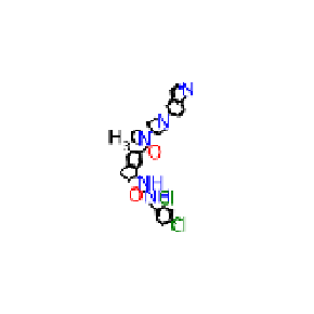 CN(C(=O)c1ccc2c(c1)C(NC(=O)NCc1ccc(Cl)cc1Cl)CC2)C1CCN(c2ccc3cnccc3c2)CC1